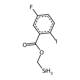 O=C(OC[SiH3])c1cc(F)ccc1I